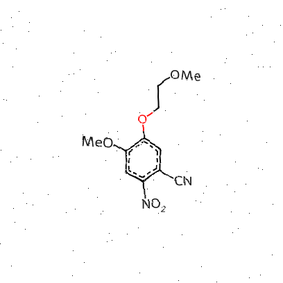 COCCOc1cc(C#N)c([N+](=O)[O-])cc1OC